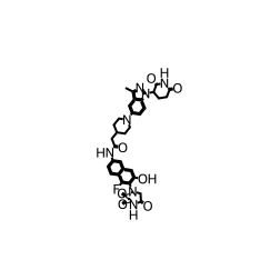 Cc1nn(C2CCC(=O)NC2=O)c2ccc(N3CCC(CC(=O)Nc4ccc5c(F)c(N6CC(=O)NS6(=O)=O)c(O)cc5c4)CC3)cc12